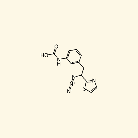 [N-]=[N+]=NC(Cc1cccc(NC(=O)O)c1)c1nccs1